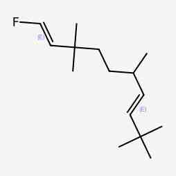 CC(/C=C/C(C)(C)C)CCC(C)(C)/C=C/F